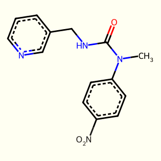 CN(C(=O)NCc1cccnc1)c1ccc([N+](=O)[O-])cc1